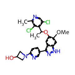 COc1cc2[nH]nc(-c3ccc(N4CC(O)C4)nc3)c2cc1OC(C)c1c(Cl)cnc(C)c1Cl